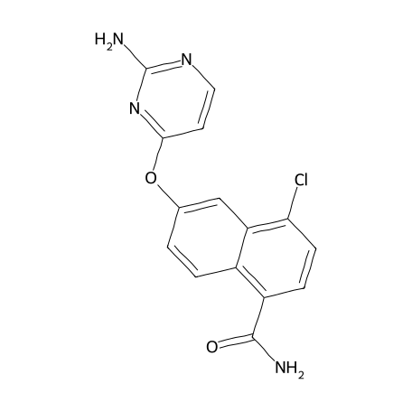 NC(=O)c1ccc(Cl)c2cc(Oc3ccnc(N)n3)ccc12